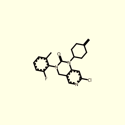 C=C1CCC(N2C(=O)N(c3c(C)cccc3F)Cc3cnc(Cl)cc32)CC1